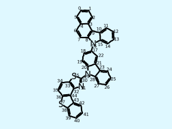 c1ccc2c(c1)ccc1c2c2ccccc2n1-c1ccc2c(c1)c1ccccc1n2-c1nc2c(ccc3sc4ccccc4c32)s1